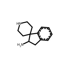 NC1Cc2ccccc2C12CCNCC2